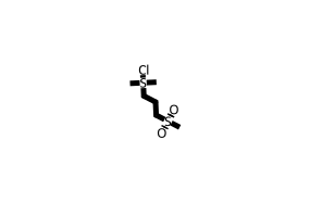 CS(C)(Cl)CCCS(C)(=O)=O